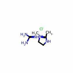 CC1=[N+](C)CCN1.N=C(N)N.[Cl-]